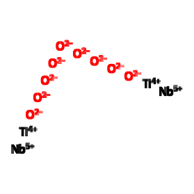 [Nb+5].[Nb+5].[O-2].[O-2].[O-2].[O-2].[O-2].[O-2].[O-2].[O-2].[O-2].[Ti+4].[Ti+4]